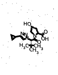 CC(C)(C)[C@@H](C(=O)N1CC(O)CC1C(=O)O)n1cc(C2CC2)nn1